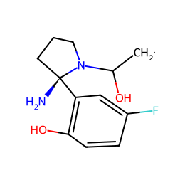 [CH2]C(O)N1CCC[C@@]1(N)c1cc(F)ccc1O